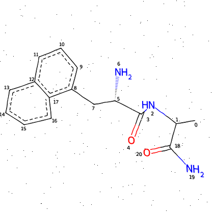 CC(NC(=O)[C@@H](N)Cc1cccc2ccccc12)C(N)=O